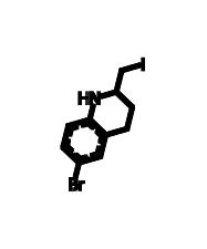 Brc1ccc2c(c1)CCC(CI)N2